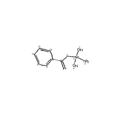 C=C(C[N+](O)(O)CCC)c1ccccc1